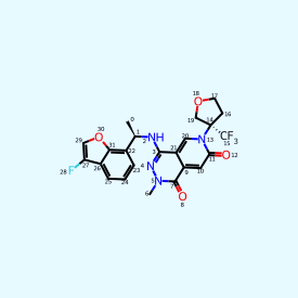 C[C@@H](Nc1nn(C)c(=O)c2cc(=O)n([C@]3(C(F)(F)F)CCOC3)cc12)c1cccc2c(F)coc12